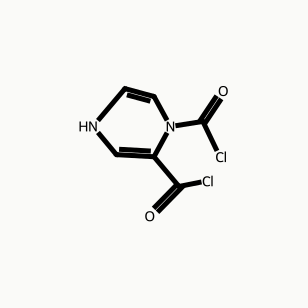 O=C(Cl)C1=CNC=CN1C(=O)Cl